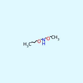 CCCCOCNCOCC